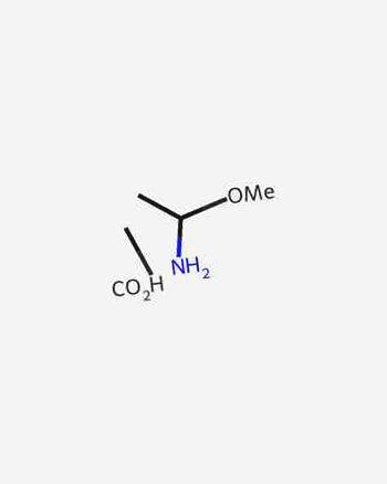 CC(=O)O.COC(C)N